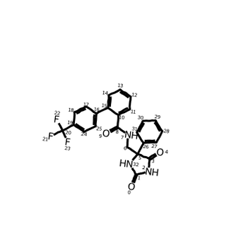 O=C1NC(=O)C(CNC(=O)c2ccccc2-c2ccc(C(F)(F)F)cc2)(c2ccccc2)N1